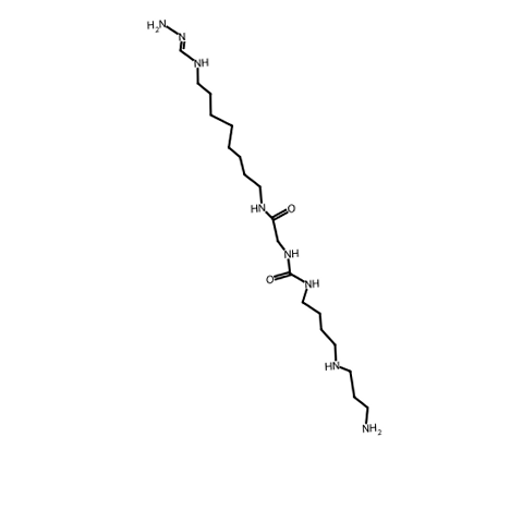 NCCCNCCCCNC(=O)NCC(=O)NCCCCCCCCNC=NN